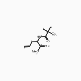 C=CCC(NC(=O)C(C)(C)CCCC)C(=O)OC